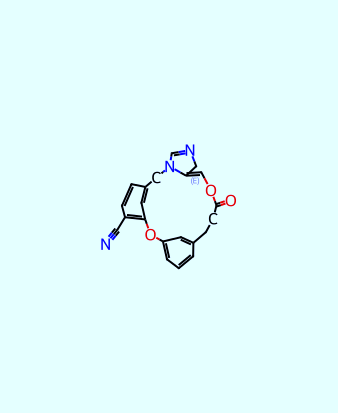 N#Cc1ccc2cc1Oc1cccc(c1)CCC(=O)O/C=C1\CN=CN1C2